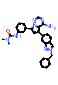 CN(C)C(=O)Nc1cccc(-c2cc(-c3ccc4cn(Cc5ccccc5)nc4c3)c3c(N)ncnn23)c1